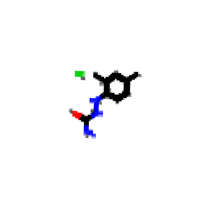 Cc1ccc(NNC(N)=O)c(C)c1.Cl